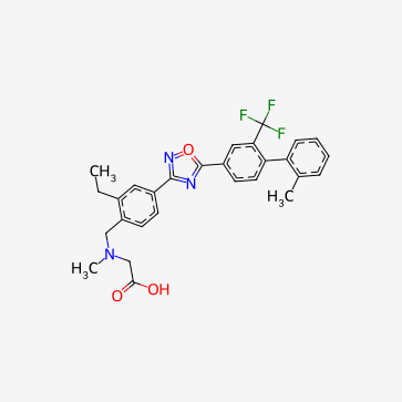 CCc1cc(-c2noc(-c3ccc(-c4ccccc4C)c(C(F)(F)F)c3)n2)ccc1CN(C)CC(=O)O